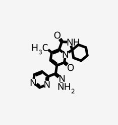 Cc1cc(C(=NN)c2ccncn2)c(=O)n2c1C(=O)NC21CCCCC1